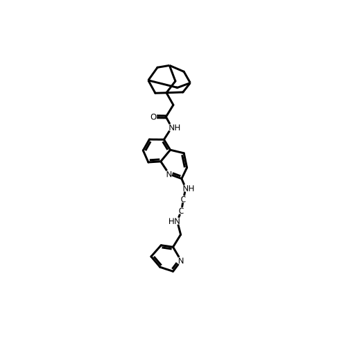 O=C(CC12CC3CC(CC(C3)C1)C2)Nc1cccc2nc(NCCNCc3ccccn3)ccc12